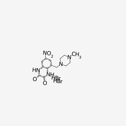 Br.Br.CN1CCN(Cc2cc([N+](=O)[O-])cc3[nH]c(=O)c(=O)[nH]c23)CC1